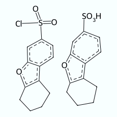 O=S(=O)(Cl)c1ccc2c3c(oc2c1)CCCC3.O=S(=O)(O)c1ccc2c3c(oc2c1)CCCC3